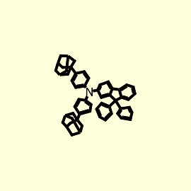 c1ccc(C2(c3ccccc3)c3ccccc3-c3ccc(N(c4ccc(C56CC7CC(CC(C7)C5)C6)cc4)c4ccc(C56CC7CC(CC(C7)C5)C6)cc4)cc32)cc1